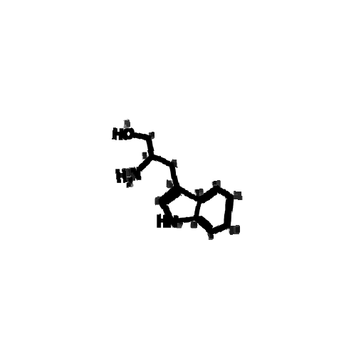 NC(CO)Cc1c[nH]c2ccccc12